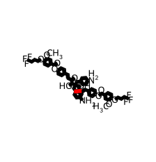 COc1cc(C(=O)Oc2ccc(/C=C/C(=O)C(O)C(Cc3ccc(N)cc3)(Cc3ccc(N)cc3)C(O)C(=O)/C=C/c3ccc(OC(=O)c4ccc(OCCCC(F)(F)F)c(OC)c4)cc3)cc2)ccc1OCCCC(F)(F)F